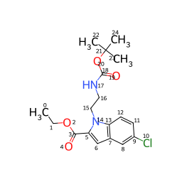 CCOC(=O)c1cc2cc(Cl)ccc2n1CCNC(=O)OC(C)(C)C